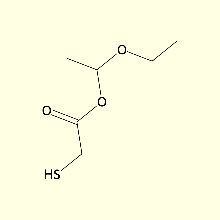 CCOC(C)OC(=O)CS